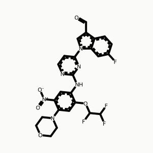 O=Cc1cn(-c2ccnc(Nc3cc([N+](=O)[O-])c(N4CCOCC4)cc3OC(F)C(F)F)n2)c2cc(F)ccc12